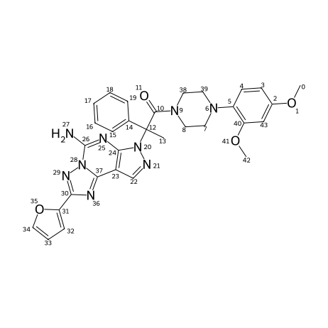 COc1ccc(N2CCN(C(=O)C(C)(c3ccccc3)n3ncc4c3nc(N)n3nc(-c5ccco5)nc43)CC2)c(OC)c1